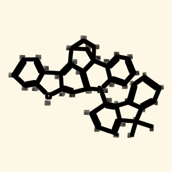 CC1(C)c2ccccc2-c2c(N3c4ccccc4C45CCC(C4)c4c5c3cc3oc5ccccc5c43)cccc21